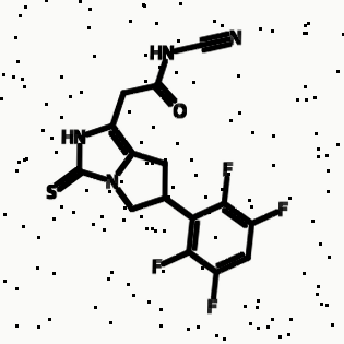 N#CNC(=O)Cc1[nH]c(=S)n2c1CC(c1c(F)c(F)cc(F)c1F)C2